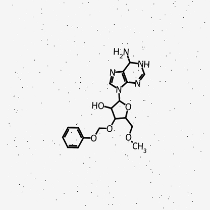 COCC1OC(n2cnc3c2N=CNC3N)C(O)C1OCOc1ccccc1